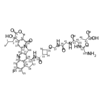 CCC[C@@]1(O)C(=O)OCc2c1cc1n(c2=O)Cc2c-1nc1cc(F)c(C)c3c1c2[C@@H](NC(=O)[C@H]1C[C@@H](OCNC(=O)CNC(=O)[C@H](CCC(=O)O)NC(=O)CN)C1)CC3